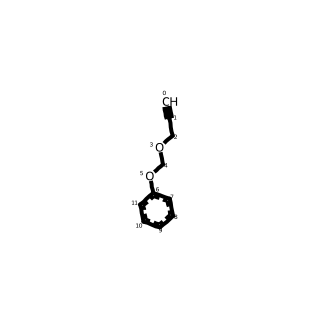 C#CCOCOc1ccccc1